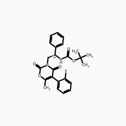 Cc1oc(=O)n(C[C@H](NC(=O)OC(C)(C)C)c2ccccc2)c(=O)c1-c1ccccc1F